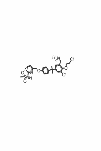 CC(C)(c1ccc(OCc2ccnc(NS(C)(=O)=O)n2)cc1)c1cc(Cl)c(OCCCl)c(CN)c1